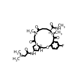 CNC(=O)[C@@H]1CCC(=O)N(C)CC(=O)N2C[C@@H](NC(=O)CN(C)C)C[C@H]2COc2ccc(F)cc2C(=O)N1C